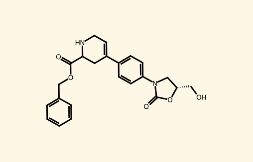 O=C(OCc1ccccc1)C1CC(c2ccc(N3C[C@H](CO)OC3=O)cc2)=CCN1